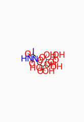 O=C(O)CCC(C(=O)O)C(O)[C@H]1O[C@@H](n2cc(I)c(=O)[nH]c2=O)C[C@@]1(O)C(CCC(=O)O)C(=O)O